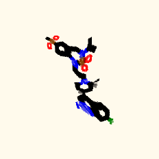 CC(C)N1Cc2cc(S(C)(=O)=O)ccc2N(CCN2CC[C@H](c3c[nH]c4cc(F)ccc34)C[C@H]2C)S1(=O)=O